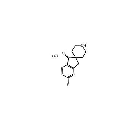 Cl.O=C1c2ccc(F)cc2CC12CCNCC2